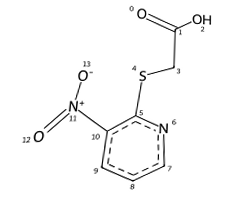 O=C(O)CSc1ncccc1[N+](=O)[O-]